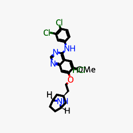 COc1cc2c(Nc3ccc(Cl)c(Cl)c3)ncnc2cc1OCC[C@H]1C[C@H]2CC[C@@H](C1)N2.Cl